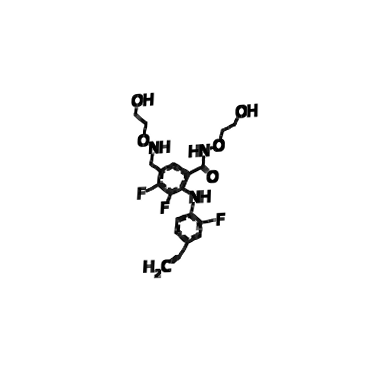 C=Cc1ccc(Nc2c(C(=O)NOCCO)cc(CNOCCO)c(F)c2F)c(F)c1